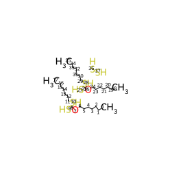 CCCCCCCOC(S)=[SH]CCCCCCC.CCCCCCCOC(S)=[SH]CCCCCCC.SS